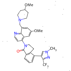 COc1cc(CN2CCC(OC)CC2)c2nccc(N3CCc4c(cccc4-c4cn(C)nc4C(F)(F)F)C3=O)c2c1